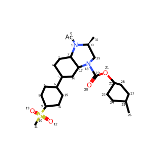 CC(=O)N1C2CCC(C3CCC(S(C)(=O)=O)CC3)CC2N(C(=O)OC2CCC(C)CC2)C[C@@H]1C